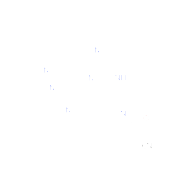 N#CCC(=O)N1CCCC(Nc2cncc(-c3cnn4ccncc34)n2)C1